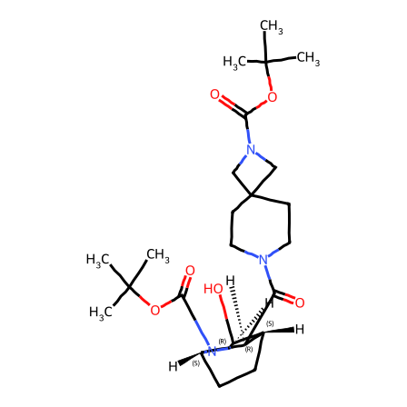 CC(C)(C)OC(=O)N1CC2(CCN(C(=O)[C@H]3[C@@H]4CC[C@@H](C[C@H]4O)N3C(=O)OC(C)(C)C)CC2)C1